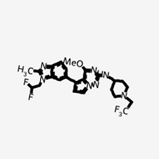 COc1nc(NC2CCN(CC(F)(F)F)CC2)nn2ccc(-c3ccc4nc(C)n(CC(F)F)c4c3)c12